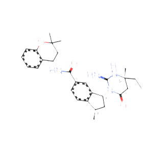 CC[C@]1(C)CC(=O)N([C@@H]2C[C@@H](C)c3ccc(C(=O)N[C@H]4CC(C)(C)Oc5ccccc54)cc32)C(=N)N1